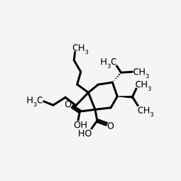 CCCCC1(CCCC)C[C@H](C(C)C)[C@@H](C(C)C)CC1(C(=O)O)C(=O)O